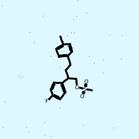 Cc1ccc(CCC(COS(C)(=O)=O)c2ccc(F)cc2)cc1